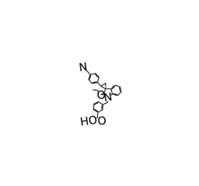 CC(C)[C@]1(c2ccc(C#N)cc2)C[C@@]12C(=O)N(Cc1cccc(C(=O)O)c1)c1ccccc12